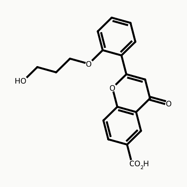 O=C(O)c1ccc2oc(-c3ccccc3OCCCO)cc(=O)c2c1